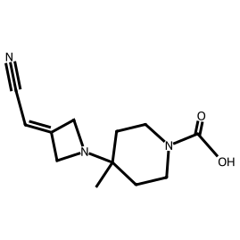 CC1(N2CC(=CC#N)C2)CCN(C(=O)O)CC1